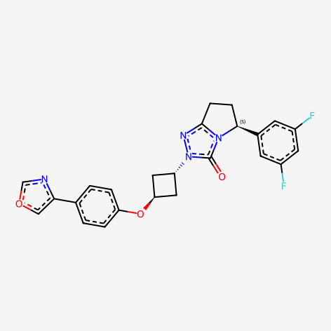 O=c1n2c(nn1[C@H]1C[C@H](Oc3ccc(-c4cocn4)cc3)C1)CC[C@H]2c1cc(F)cc(F)c1